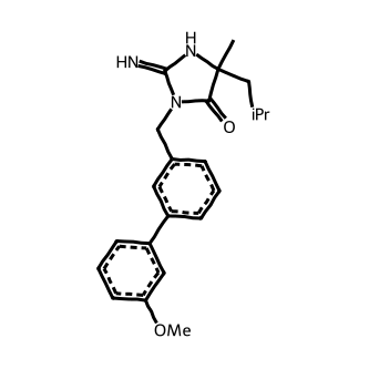 COc1cccc(-c2cccc(CN3C(=N)NC(C)(CC(C)C)C3=O)c2)c1